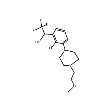 COCCN1CCN(c2cccc(C(O)C(F)(F)F)c2Cl)CC1